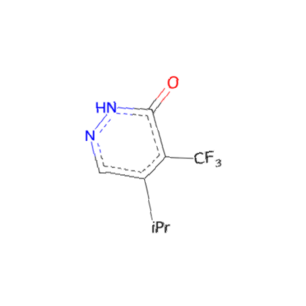 CC(C)c1cn[nH]c(=O)c1C(F)(F)F